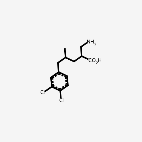 CC(Cc1ccc(Cl)c(Cl)c1)CC(CN)C(=O)O